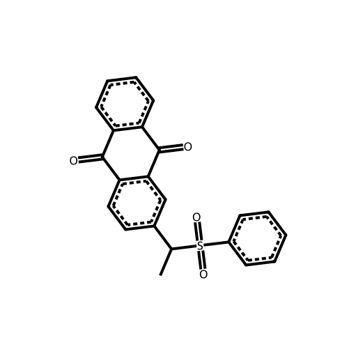 CC(c1ccc2c(c1)C(=O)c1ccccc1C2=O)S(=O)(=O)c1ccccc1